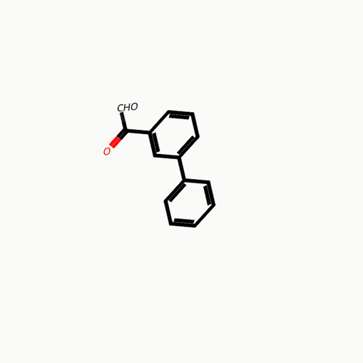 O=CC(=O)c1cccc(-c2ccccc2)c1